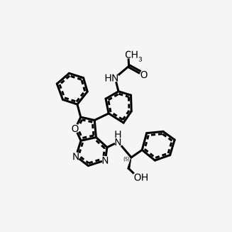 CC(=O)Nc1cccc(-c2c(-c3ccccc3)oc3ncnc(N[C@H](CO)c4ccccc4)c23)c1